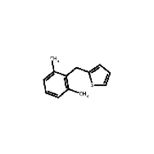 Cc1cccc(C)c1Cc1cccs1